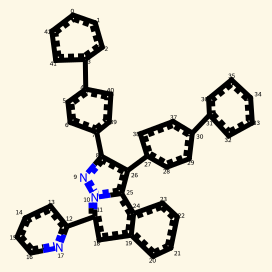 c1ccc(-c2ccc(-c3nn4c(-c5ccccn5)cc5ccccc5c4c3-c3ccc(-c4ccccc4)cc3)cc2)cc1